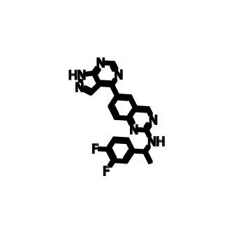 CC(Nc1ncc2cc(-c3ncnc4[nH]ncc34)ccc2n1)c1ccc(F)c(F)c1